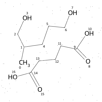 CC(CO)CCCO.O=C(O)CCCC(=O)O